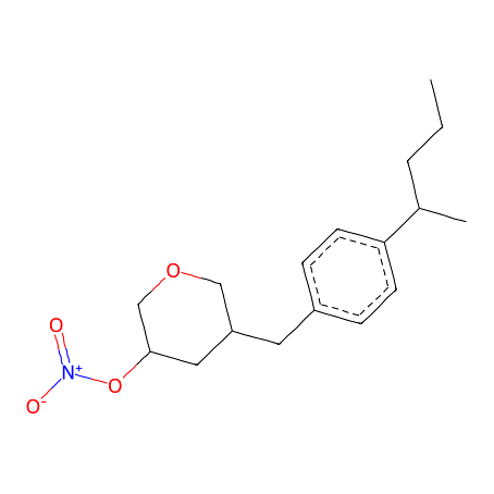 CCCC(C)c1ccc(CC2COCC(O[N+](=O)[O-])C2)cc1